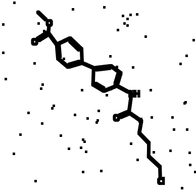 COC(=O)c1ccc(-c2ccc(NC(=O)CCCCCCl)cc2)cc1